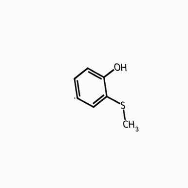 CSc1c[c]ccc1O